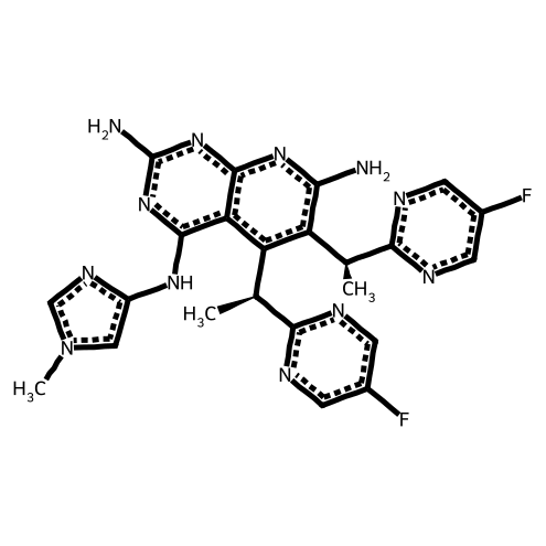 C[C@H](c1ncc(F)cn1)c1c(N)nc2nc(N)nc(Nc3cn(C)cn3)c2c1[C@H](C)c1ncc(F)cn1